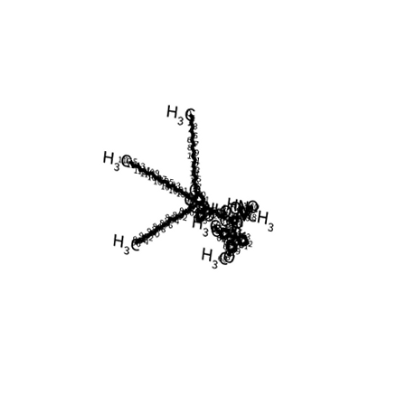 CCCCCCCCCCCCCCCCCCOc1ccc(C(NC(=O)CCC(=O)O[C@@H]2C[C@H](n3cc(C)c(=O)[nH]c3=O)O[C@@H]2COC(c2ccccc2)(c2ccc(OC)cc2)c2ccc(OC)cc2)c2ccccc2)c(OCCCCCCCCCCCCCCCCCC)c1OCCCCCCCCCCCCCCCCCC